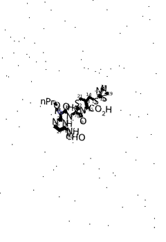 CCCO/N=C(\C(=O)NC1C(=O)N2C(C(=O)O)=C(CSc3nncs3)CS[C@H]12)c1nccc(NC=O)n1